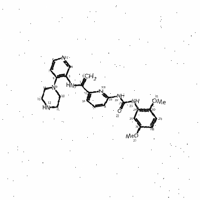 C=C(Nc1cnccc1N1CCNCC1)c1cccc(NC(=O)Nc2cc(OC)ccc2OC)n1